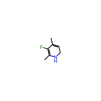 CC1=CCNC(C)=C1F